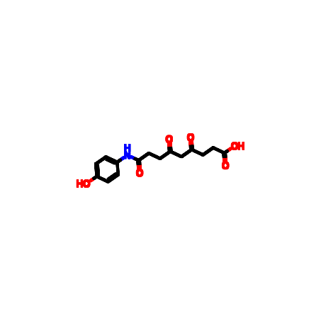 O=C(O)CCC(=O)CC(=O)CCC(=O)Nc1ccc(O)cc1